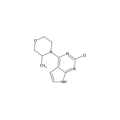 CC1COCCN1c1nc(Cl)nc2[nH]ccc12